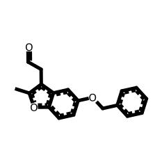 Cc1oc2ccc(OCc3ccccc3)cc2c1CC=O